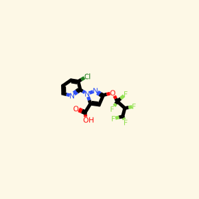 O=C(O)c1cc(OC(F)(F)C(F)C(F)F)nn1-c1ncccc1Cl